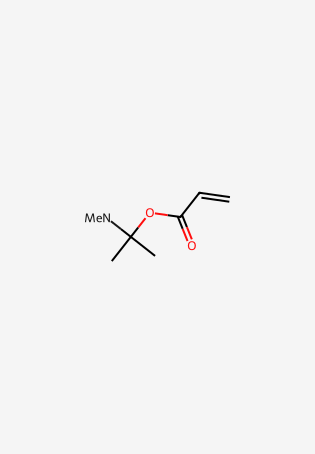 C=CC(=O)OC(C)(C)NC